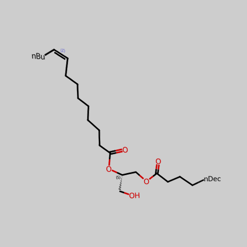 CCCC/C=C\CCCCCCCC(=O)O[C@@H](CO)COC(=O)CCCCCCCCCCCCC